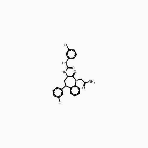 CCc1cccc(NC(=O)NC2CC(c3cccc(Cl)c3)c3ccccc3N(CC(N)=O)C2=O)c1